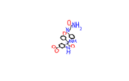 COC(=O)c1ccc2c(c1)NC(=O)/C2=C(\Nc1cccc(C(=O)N(C)CC(N)=O)c1)c1ccccc1